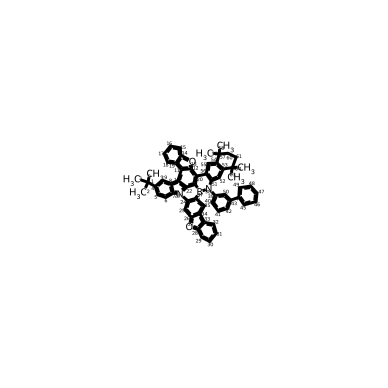 CC(C)(C)c1ccc2c(c1)c1c3c(oc4ccccc43)c3c4c1n2-c1cc2oc5ccccc5c2cc1B4N(c1cccc(-c2ccccc2)c1)c1cc2c(cc1-3)C(C)(C)CCC2(C)C